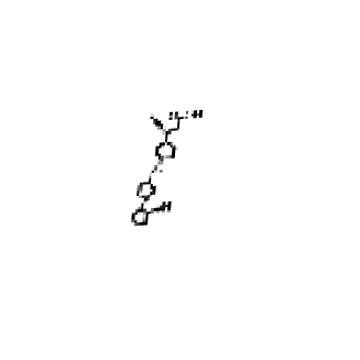 CC#C[C@@H](CC(=O)O)c1ccc(OCc2ccc(-c3ccccc3C#N)cc2)cc1